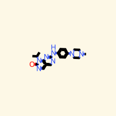 CC(C)n1c(=O)ncc2cnc(Nc3ccc(N4CCN(C)CC4)cc3)nc21